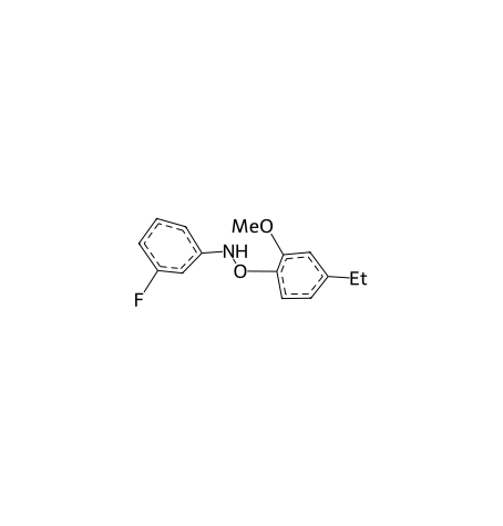 CCc1ccc(ONc2cccc(F)c2)c(OC)c1